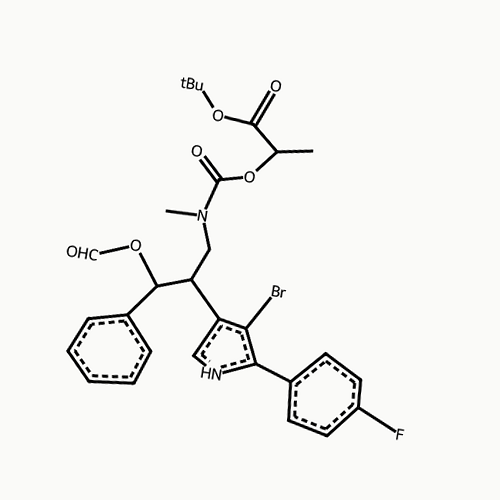 CC(OC(=O)N(C)CC(c1c[nH]c(-c2ccc(F)cc2)c1Br)C(OC=O)c1ccccc1)C(=O)OC(C)(C)C